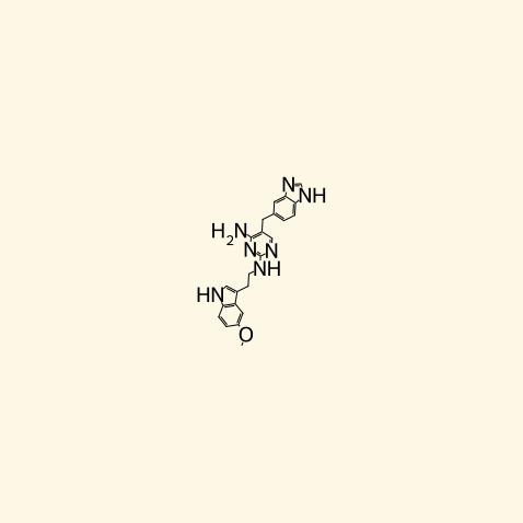 COc1ccc2[nH]cc(CCNc3ncc(Cc4ccc5[nH]cnc5c4)c(N)n3)c2c1